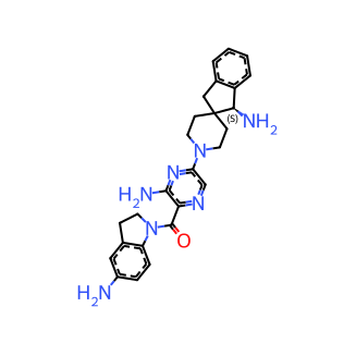 Nc1ccc2c(c1)CCN2C(=O)c1ncc(N2CCC3(CC2)Cc2ccccc2[C@H]3N)nc1N